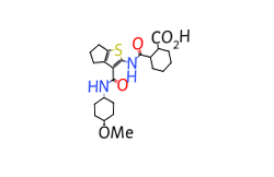 CO[C@H]1CC[C@H](NC(=O)c2c(NC(=O)C3CCCCC3C(=O)O)sc3c2CCC3)CC1